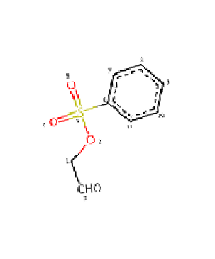 O=CCOS(=O)(=O)c1ccccc1